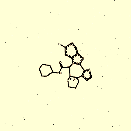 Cc1ccsc1-c1nc2ccc(F)cc2n1C(C(=O)NC1CCCCC1)C1CCCCC1